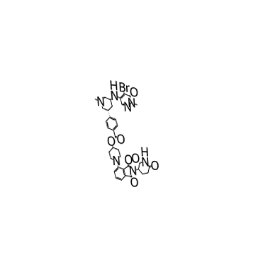 CN1C[C@H](Nc2cnn(C)c(=O)c2Br)C[C@H](c2ccc(C(=O)OC3CCN(c4cccc5c4C(=O)N(C4CCC(=O)NC4=O)C5=O)CC3)cc2)C1